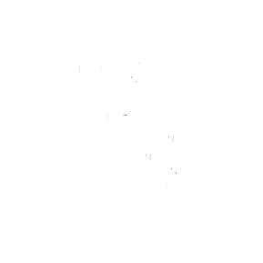 CCCCN(C[C@H](O)c1cnc(NC(=O)C(C)C)nc1)C(=O)OC(C)(C)C